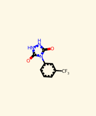 O=c1[nH][nH]c(=O)n1-c1cccc(C(F)(F)F)c1